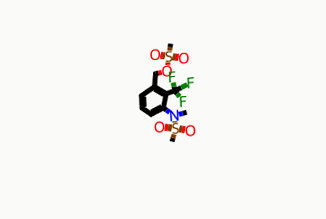 CN(c1cccc(COS(C)(=O)=O)c1C(F)(F)F)S(C)(=O)=O